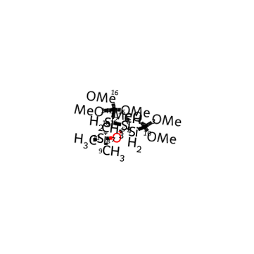 COC(OC)(OC)[SiH2][Si](C)(O[Si](C)(C)C)[SiH2]C(OC)(OC)OC